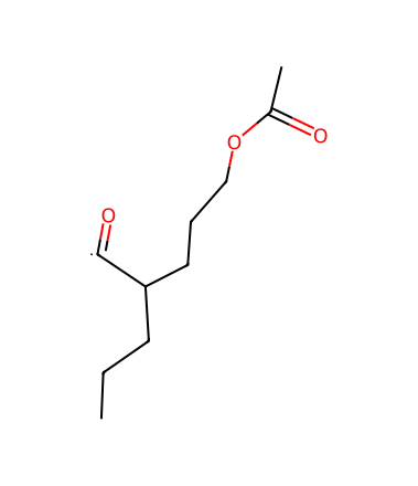 CCCC([C]=O)CCCOC(C)=O